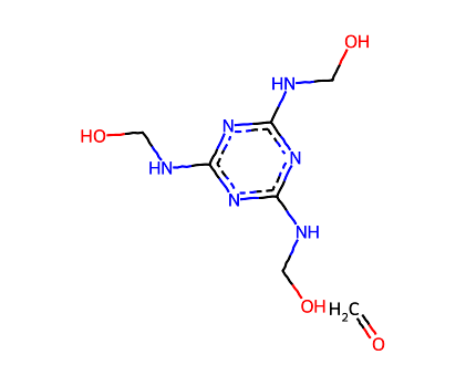 C=O.OCNc1nc(NCO)nc(NCO)n1